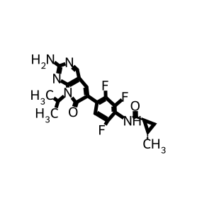 CC(C)n1c(=O)c(-c2cc(F)c(NC(=O)[C@H]3C[C@@H]3C)c(F)c2F)cc2cnc(N)nc21